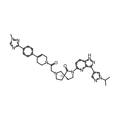 CC(C)n1cc(-c2n[nH]c3ccc(N4CC[C@]5(CCN(CC(=O)N6CC=C(c7ccc(-c8ncn(C)n8)cc7)CC6)C5)C4=O)nc23)cn1